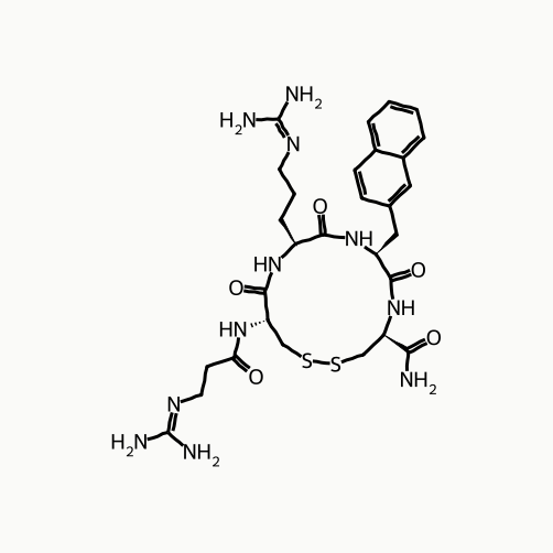 NC(=O)[C@H]1CSSC[C@H](NC(=O)CCN=C(N)N)C(=O)N[C@@H](CCCN=C(N)N)C(=O)N[C@@H](Cc2ccc3ccccc3c2)C(=O)N1